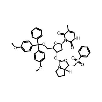 COc1ccc(C(OC[C@H]2O[C@@H](n3c(=O)[nH]cc(C)c3=O)C[C@@H]2O[P@]2O[C@H](CS(=O)(=O)c3ccccc3)[C@@H]3CCCN32)(c2ccccc2)c2ccc(OC)cc2)cc1